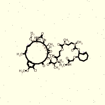 CNC(=O)COC1CCCC/C=C/C1OC(=O)N(C)CCN(C)C(=O)OCCC(=O)N(C)[C@@H](C)C(=O)O[C@H]1CC(=O)Cc2cc(cc(OC)c2Cl)C/C(C)=C/C=C/[C@@H](OC)[C@@]2(O)C[C@H](OC(=O)N2)[C@@H](C)[C@@H]2O[C@@]12C